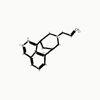 C=CCN1CC2CC(C1)c1nncc3cccc2c13